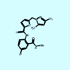 CCCCNC(=O)c1cc(Cl)ccc1NC(=O)c1ccc(Cn2nc(C)cc2C)o1